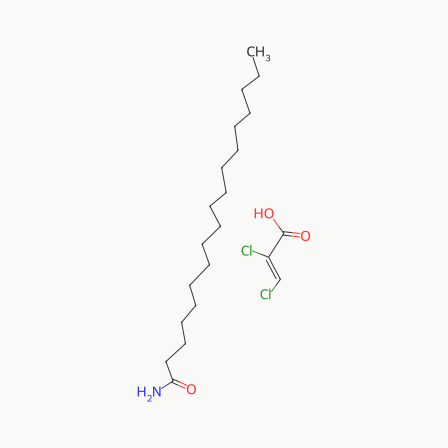 CCCCCCCCCCCCCCCCCC(N)=O.O=C(O)C(Cl)=CCl